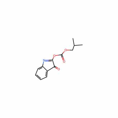 CC(C)COC(=O)OC1=Nc2ccccc2C1=O